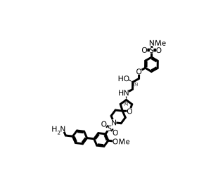 CNS(=O)(=O)c1cccc(OC[C@@H](O)CN[C@@H]2COC3(CCN(S(=O)(=O)c4cc(-c5ccc(CN)cc5)ccc4OC)CC3)C2)c1